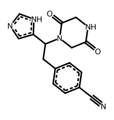 N#Cc1ccc(CC(c2cnc[nH]2)N2CC(=O)NCC2=O)cc1